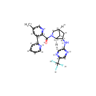 Cc1cnc(C(=O)N2C[C@H]3C[C@@H](Nc4cnc(C(F)(F)F)cn4)[C@@H]2C3)c(-c2ccccn2)c1